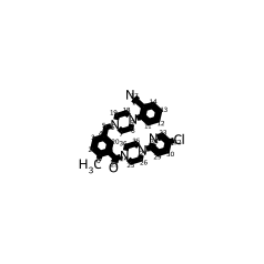 Cc1ccc(CN2CCN(c3ccccc3C#N)CC2)cc1C(=O)N1CCN(c2ccc(Cl)cn2)CC1